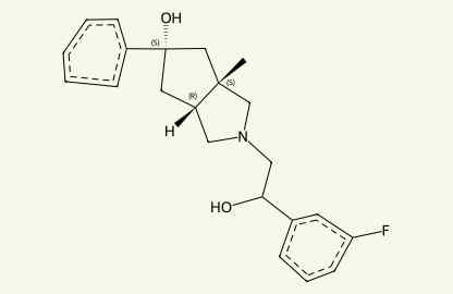 C[C@@]12CN(CC(O)c3cccc(F)c3)C[C@@H]1C[C@@](O)(c1ccccc1)C2